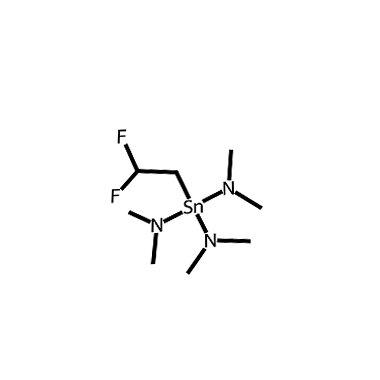 C[N](C)[Sn]([CH2]C(F)F)([N](C)C)[N](C)C